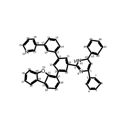 C1=C(c2ccccc2)N=C(c2cc(-c3cccc(-c4cccnc4)c3)cc(-c3cccc4c3oc3ccccc34)c2)NC1c1ccccc1